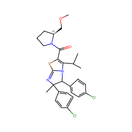 COC[C@@H]1CCCN1C(=O)C1=C(C(C)C)N2C(=NC(C)(c3ccc(Cl)cc3)C2c2ccc(Cl)cc2)S1